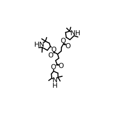 CC1CC(OC(=O)CCC(CCC(=O)OC2CC(C)NC(C)(C)C2)C(=O)OC2CC(C)(C)NC(C)(C)C2)CC(C)(C)N1